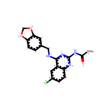 CNC(=O)Nc1nc(NCc2ccc3c(c2)OCO3)c2cc(Cl)ccc2n1